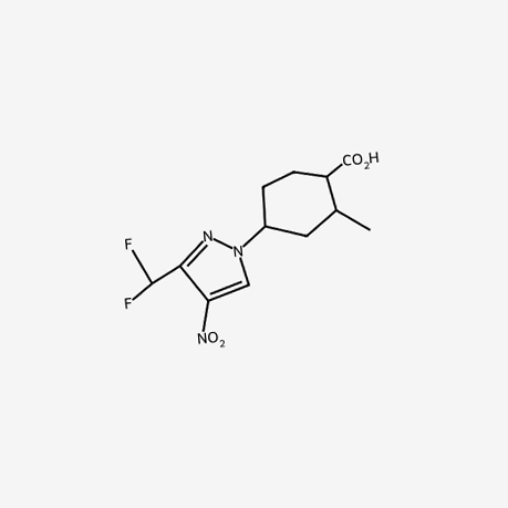 CC1CC(n2cc([N+](=O)[O-])c(C(F)F)n2)CCC1C(=O)O